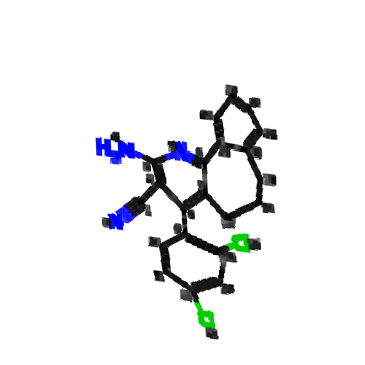 N#Cc1c(N)nc2c(c1-c1ccc(Cl)cc1Cl)CCCc1ccccc1-2